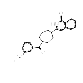 O=C(c1cccc(OC(F)(F)F)c1)C1CCCC(c2cc3ccccc3c(=O)[nH]2)CC1